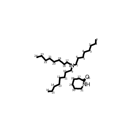 CCCCCCCCN(CCCCCCCC)CCCCCCCC.O=C1CCCCCN1